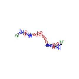 Cc1c(C(=O)C(=O)NCc2cn(CCOCCOCCOCC(CO)COCCOCCOCCN3C=C(CNC(=O)C(=O)c4c(C)c(C(=O)Nc5ccc(F)c(F)c5)n(C)c4C)N(C)N3)nn2)c(C)n(C)c1CNc1ccc(F)c(F)c1